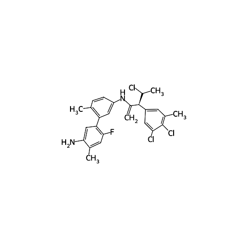 C=C(Nc1ccc(C)c(-c2cc(N)c(C)cc2F)c1)[C@H](c1cc(C)c(Cl)c(Cl)c1)C(C)Cl